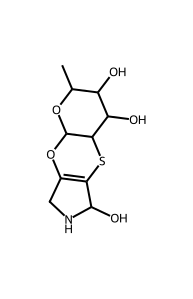 CC1OC2OC3=C(SC2C(O)C1O)C(O)NC3